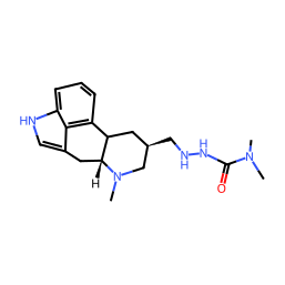 CN(C)C(=O)NNC[C@@H]1CC2c3cccc4[nH]cc(c34)C[C@H]2N(C)C1